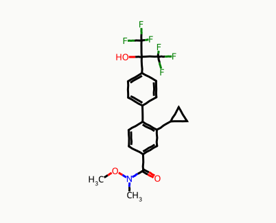 CON(C)C(=O)c1ccc(-c2ccc(C(O)(C(F)(F)F)C(F)(F)F)cc2)c(C2CC2)c1